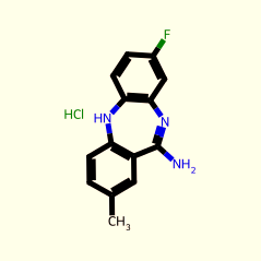 Cc1ccc2c(c1)C(N)=Nc1cc(F)ccc1N2.Cl